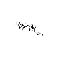 Cc1ccc([C@]2(O)CCCn3nc(/C=C/c4ccc(-n5cnc(C)c5)c(C)c4)nc32)cc1